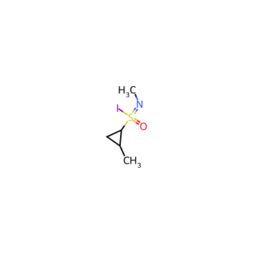 CN=S(=O)(I)C1CC1C